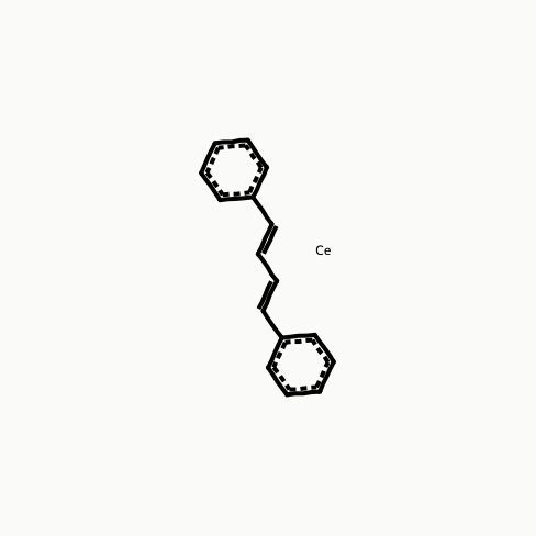 C(C=Cc1ccccc1)=Cc1ccccc1.[Ce]